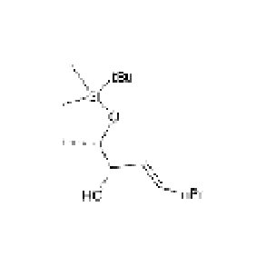 CCC/C=C/[C@H](O)[C@H](C)O[Si](C)(C)C(C)(C)C